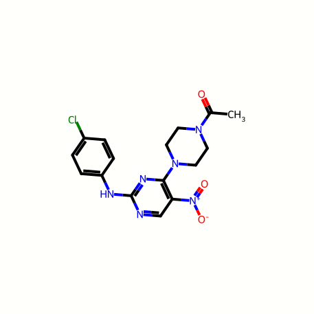 CC(=O)N1CCN(c2nc(Nc3ccc(Cl)cc3)ncc2[N+](=O)[O-])CC1